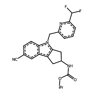 CC(C)OC(=O)NC1Cc2c(n(Cc3cccc(C(F)F)n3)c3ccc(C#N)cc23)C1